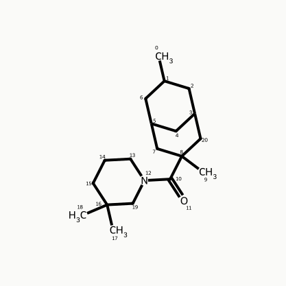 CC1CC2CC(C1)CC(C)(C(=O)N1CCCC(C)(C)C1)C2